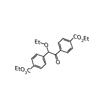 CCOC(=O)c1ccc(C(=O)C(OCC)c2ccc(C(=O)OCC)cc2)cc1